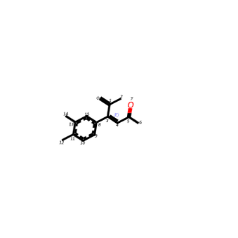 C=C(C)/C(=C\C(C)=O)c1ccc(C)c(C)c1